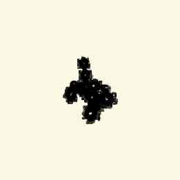 c1ccc(-c2ccc(N(c3ccc4c(c3)C3(c5ccccc5S4)c4ccccc4-c4c3ccc3ccccc43)c3ccc4c(c3)oc3ccccc34)cc2)cc1